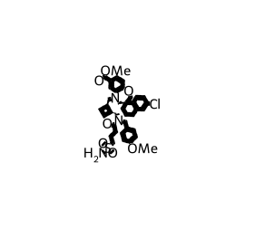 COC(=O)c1ccc2c(c1)N(C[C@@H]1CC[C@H]1CN(Cc1ccc(OC)cc1)C(=O)CCCS(N)(=O)=O)C[C@@]1(CCCc3cc(Cl)ccc31)CO2